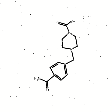 CCCC(=O)N1CCN(Cc2ccc(C(N)=O)cc2)CC1